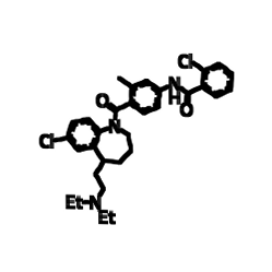 CCN(CC)CCC1CCCN(C(=O)c2ccc(NC(=O)c3ccccc3Cl)cc2C)c2ccc(Cl)cc21